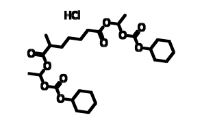 CC(OC(=O)CCCCC(C)C(=O)OC(C)OC(=O)OC1CCCCC1)OC(=O)OC1CCCCC1.Cl